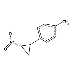 Cc1ccc(C2C[C@@H]2[N+](=O)[O-])cc1